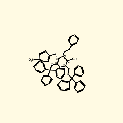 O=[N+]([O-])c1ccc(O[C@H]2[C@H](OC(c3ccccc3)(c3ccccc3)c3ccccc3)O[C@H](COC(c3ccccc3)(c3ccccc3)c3ccccc3)[C@H](O)[C@@H]2OCc2ccccc2)cc1